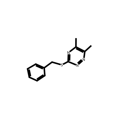 Cc1nnc(SCc2ccccc2)nc1C